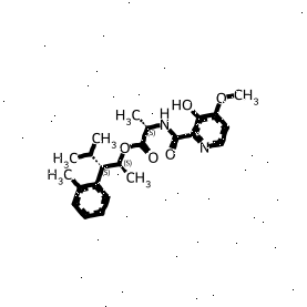 COc1ccnc(C(=O)N[C@@H](C)C(=O)O[C@@H](C)[C@H](c2ccccc2C)C(C)C)c1O